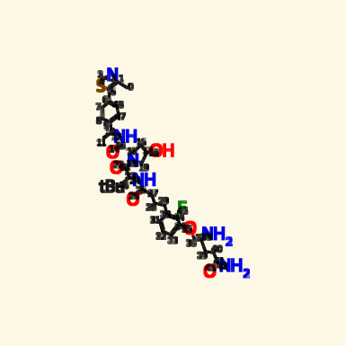 Cc1ncsc1-c1ccc([C@H](C)NC(=O)[C@@H]2C[C@@H](O)CN2C(=O)[C@@H](NC(=O)CCCc2cccc(OC[C@@H](N)CCC(N)=O)c2F)C(C)(C)C)cc1